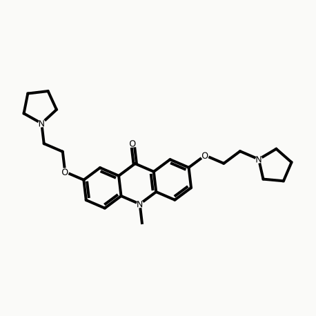 Cn1c2ccc(OCCN3CCCC3)cc2c(=O)c2cc(OCCN3CCCC3)ccc21